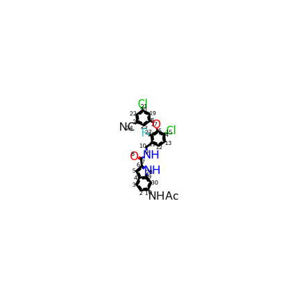 CC(=O)Nc1ccc2cc(C(=O)NCc3ccc(Cl)c(Oc4cc(Cl)cc(C#N)c4)c3F)[nH]c2c1